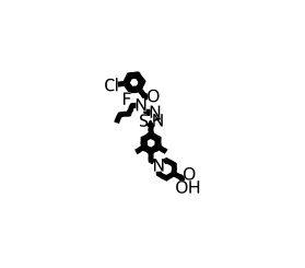 CCCCN(C(=O)c1cccc(Cl)c1F)c1nnc(-c2cc(C)c(CN3CCC(C(=O)O)CC3)c(C)c2)s1